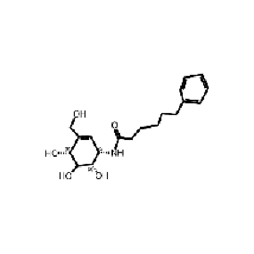 O=C(CCCCCc1ccccc1)N[C@H]1C=C(CO)[C@@H](O)C(O)[C@H]1O